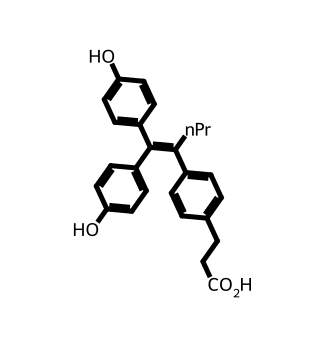 CCCC(=C(c1ccc(O)cc1)c1ccc(O)cc1)c1ccc(CCC(=O)O)cc1